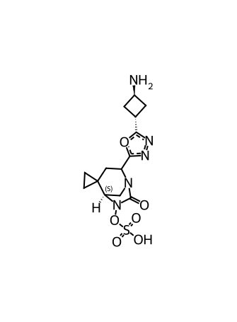 N[C@H]1C[C@H](c2nnc(C3CC4(CC4)[C@H]4CN3C(=O)N4OS(=O)(=O)O)o2)C1